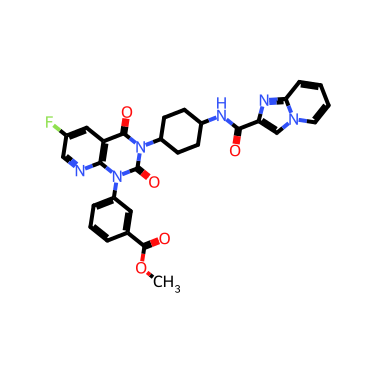 COC(=O)c1cccc(-n2c(=O)n(C3CCC(NC(=O)c4cn5ccccc5n4)CC3)c(=O)c3cc(F)cnc32)c1